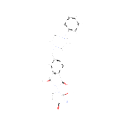 O=C1CCN(N2C(=O)c3ccc(CN4CCN(c5cccc(Br)c5)CC4)cc3C2=O)C(=O)N1